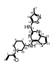 C=CC(=O)N1CCC[C@@H](Nc2nc(Nc3cc(C)ns3)nc3ccsc23)C1